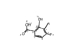 Cc1c(F)ccc(C(=O)O)c1O